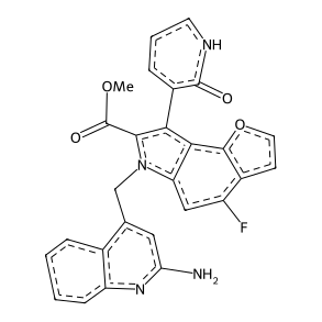 COC(=O)c1c(-c2ccc[nH]c2=O)c2c3occc3c(F)cc2n1Cc1cc(N)nc2ccccc12